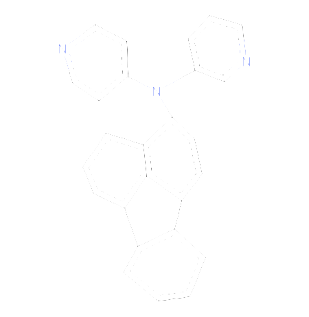 c1cncc(N(c2ccncc2)c2ccc3c4c(cccc24)-c2ccccc2-3)c1